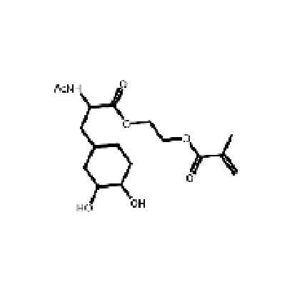 C=C(C)C(=O)OCCOC(=O)C(CC1CCC(O)C(O)C1)NC(C)=O